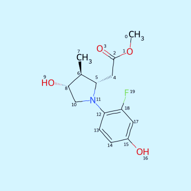 COC(=O)C[C@H]1[C@H](C)[C@@H](O)CN1c1ccc(O)cc1F